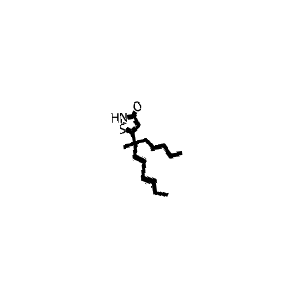 CCCCCCC(C)(CCCCC)c1cc(=O)[nH]s1